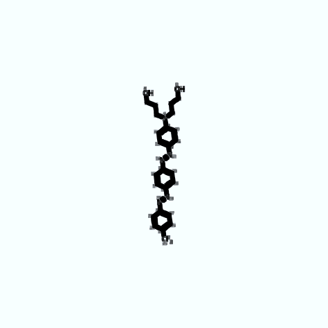 OCCCN(CCCO)c1ccc(N=Nc2ccc(N=Nc3ccc(C(F)(F)F)cc3)cc2)cc1